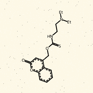 CCN(CC)CCNC(=S)OCc1cc(=O)oc2ccccc12